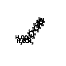 CC(C)(C)OC(=O)N1CCC(C2CCN(c3ccncn3)CC2)CC1